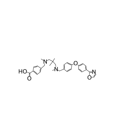 CN(Cc1ccc(Oc2ccc(-c3ncco3)cc2)cc1)CC(C)(C)CN(C)Cc1ccc(C(=O)O)cc1